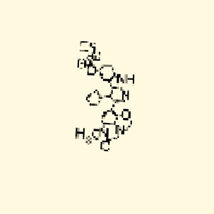 CN1C(=O)CN2CCOc3c(-c4cnc5[nH]c6ccc(OS(=O)(=O)c7cccs7)cc6c5c4-c4ccccc4)ccc1c32